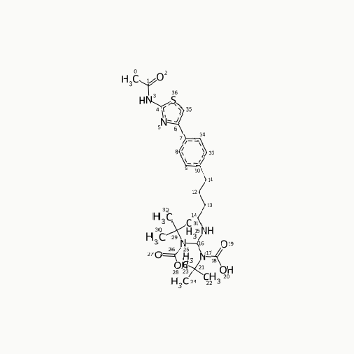 CC(=O)Nc1nc(-c2ccc(CCCCNC(N(C(=O)O)C(C)(C)C)N(C(=O)O)C(C)(C)C)cc2)cs1